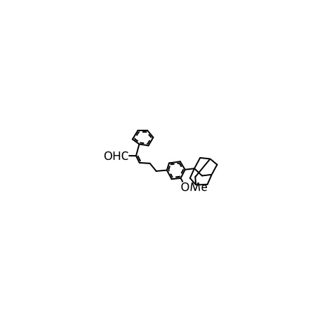 COc1cc(CCC=C(C=O)c2ccccc2)ccc1C12CC3CC(CC(C3)C1)C2